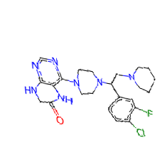 O=C1CNc2ncnc(N3CCN(C(CN4CCCCC4)c4ccc(Cl)c(F)c4)CC3)c2N1